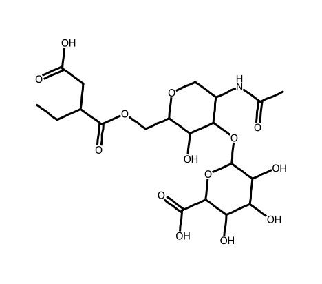 CCC(CC(=O)O)C(=O)OCC1OCC(NC(C)=O)C(OC2OC(C(=O)O)C(O)C(O)C2O)C1O